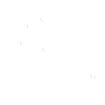 NS(=O)(=O)c1cccc(-c2ccc3ncnc(N4CCCC4)c3n2)c1